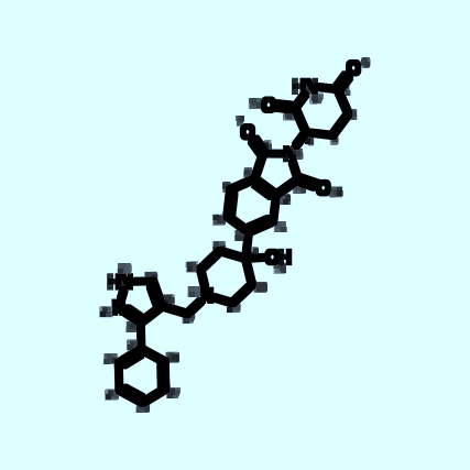 O=C1CCC(N2C(=O)c3ccc(C4(O)CCN(Cc5c[nH]nc5-c5ccccc5)CC4)cc3C2=O)C(=O)N1